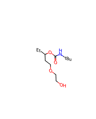 CCC(CCOCCO)OC(=O)NC(C)(C)C